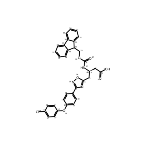 O=C(O)C[C@@H](Cc1nc(-c2ccc(Oc3ccc(Cl)cc3)cc2)no1)NC(=O)OCC1c2ccccc2-c2ccccc21